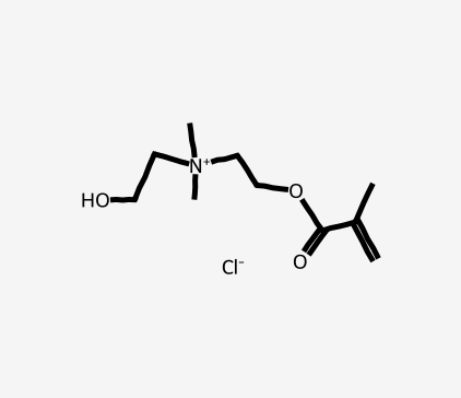 C=C(C)C(=O)OCC[N+](C)(C)CCO.[Cl-]